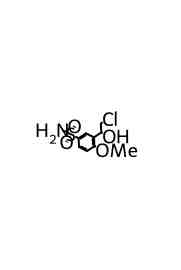 COc1ccc(S(N)(=O)=O)cc1C(O)CCl